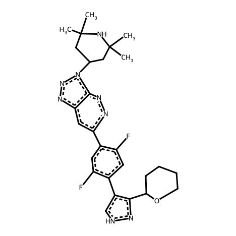 CC1(C)CC(n2nnc3cc(-c4cc(F)c(-c5c[nH]nc5C5CCCCO5)cc4F)nnc32)CC(C)(C)N1